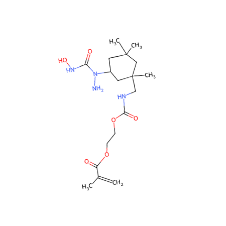 C=C(C)C(=O)OCCOC(=O)NCC1(C)CC(N(N)C(=O)NO)CC(C)(C)C1